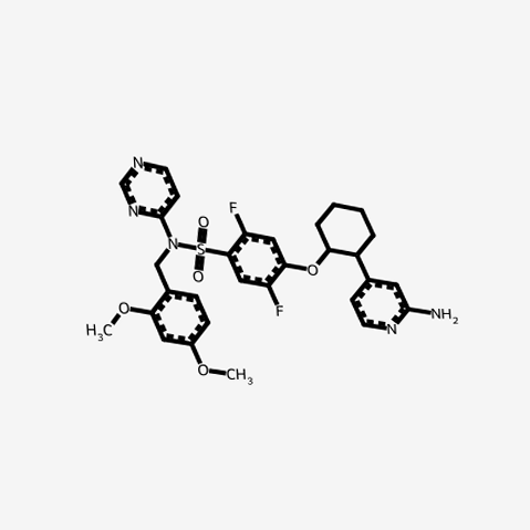 COc1ccc(CN(c2ccncn2)S(=O)(=O)c2cc(F)c(OC3CCCCC3c3ccnc(N)c3)cc2F)c(OC)c1